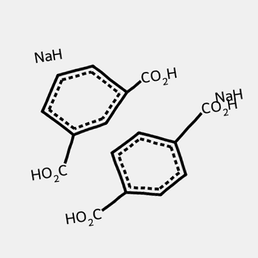 O=C(O)c1ccc(C(=O)O)cc1.O=C(O)c1cccc(C(=O)O)c1.[NaH].[NaH]